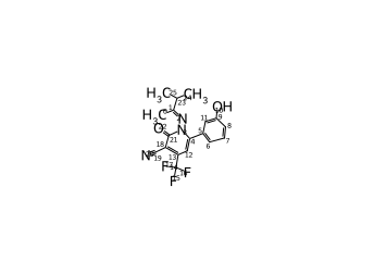 C/C(=N\n1c(-c2cccc(O)c2)cc(C(F)(F)F)c(C#N)c1=O)C(C)C